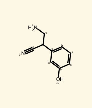 N#CC(CN)c1cccc(O)c1